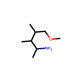 COCC(C)C(C)C(C)N